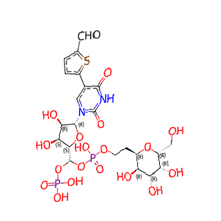 O=Cc1ccc(-c2cn([C@@H]3O[C@H](C(OP(=O)(O)O)OP(=O)(O)OCC[C@H]4O[C@H](CO)[C@H](O)[C@H](O)[C@H]4O)[C@@H](O)[C@H]3O)c(=O)[nH]c2=O)s1